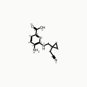 N#CCC1(CNc2nc(C(=O)O)ccc2N)CC1